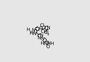 C[C@@H](Oc1ccc(N)c(C(=N)c2cnc(N3CCC4(CC3)CNC(=O)N4)nc2)c1)c1c(Cl)cncc1Cl